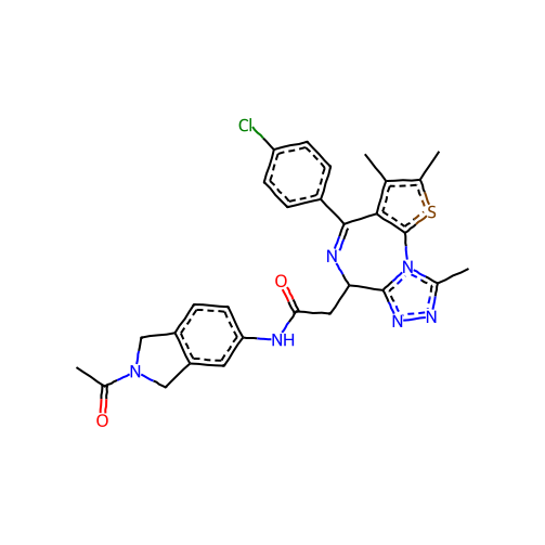 CC(=O)N1Cc2ccc(NC(=O)CC3N=C(c4ccc(Cl)cc4)c4c(sc(C)c4C)-n4c(C)nnc43)cc2C1